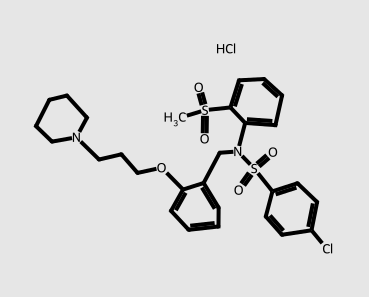 CS(=O)(=O)c1ccccc1N(Cc1ccccc1OCCCN1CCCCC1)S(=O)(=O)c1ccc(Cl)cc1.Cl